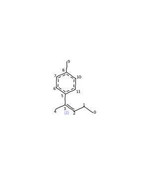 CC/C=C(/C)c1ccc(C)cc1